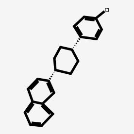 Clc1ccc([C@H]2CC[C@@H](c3ccc4ccccc4c3)CC2)cc1